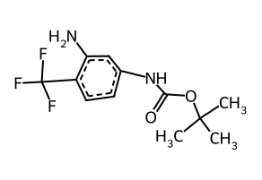 CC(C)(C)OC(=O)Nc1ccc(C(F)(F)F)c(N)c1